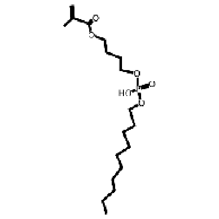 C=C(C)C(=O)OCCCCOP(=O)(O)OCCCCCCCCCC